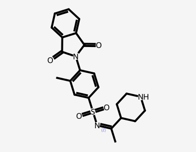 C/C(=N/S(=O)(=O)c1ccc(N2C(=O)c3ccccc3C2=O)c(C)c1)C1CCNCC1